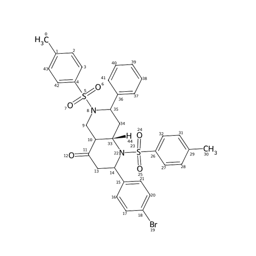 Cc1ccc(S(=O)(=O)N2CC3C(=O)CC(c4ccc(Br)cc4)N(S(=O)(=O)c4ccc(C)cc4)[C@H]3CC2c2ccccc2)cc1